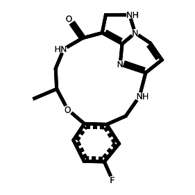 CC1CNC(=O)C2=C3N=C(C=CN3NC2)NCc2cc(F)ccc2O1